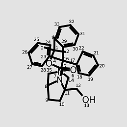 CC(C)(C)OC(=O)N1C2CCC1(CO)CN(C(c1ccccc1)(c1ccccc1)c1ccccc1)C2